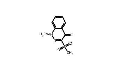 Cn1nc(S(C)(=O)=O)c(=O)c2ccccc21